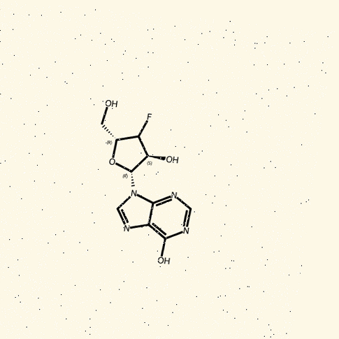 OC[C@H]1O[C@@H](n2cnc3c(O)ncnc32)[C@H](O)C1F